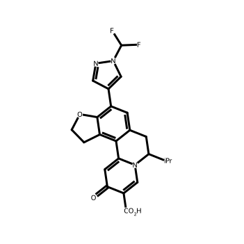 CC(C)C1Cc2cc(-c3cnn(C(F)F)c3)c3c(c2-c2cc(=O)c(C(=O)O)cn21)CCO3